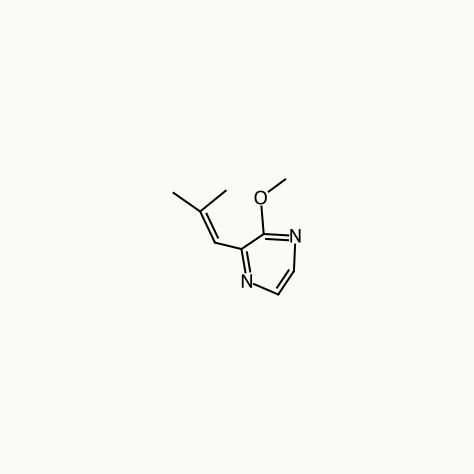 COc1nccnc1C=C(C)C